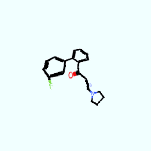 O=C(/C=C/N1CCCC1)c1ccccc1-c1cccc(F)c1